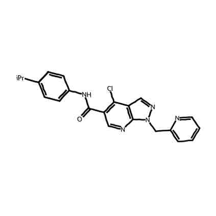 CC(C)c1ccc(NC(=O)c2cnc3c(cnn3Cc3ccccn3)c2Cl)cc1